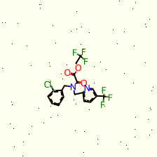 O=C(OCC(F)(F)F)C(=O)N(Cc1ccc(C(F)(F)F)cn1)Cc1ccccc1Cl